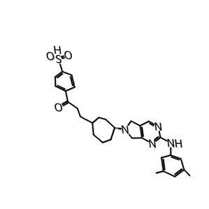 Cc1cc(C)cc(Nc2ncc3c(n2)CN([C@H]2CCCC(CCC(=O)c4ccc([SH](=O)=O)cc4)CC2)C3)c1